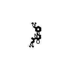 C=C(/C=C/N(C)C)c1nn(-c2cccc(CN(C)C)c2)ccc1=O